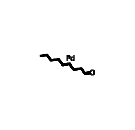 CCCCCCCCC=O.[Pd]